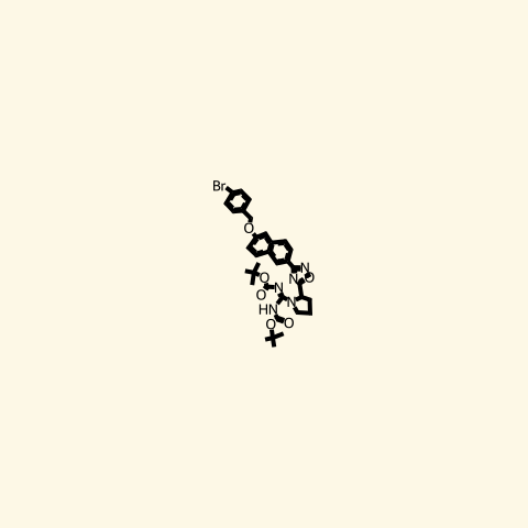 CC(C)(C)OC(=O)N=C(NC(=O)OC(C)(C)C)N1CCCC1c1nc(-c2ccc3cc(OCc4ccc(Br)cc4)ccc3c2)no1